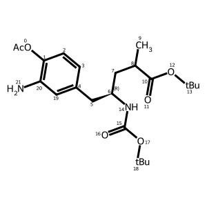 CC(=O)Oc1ccc(C[C@@H](CC(C)C(=O)OC(C)(C)C)NC(=O)OC(C)(C)C)cc1N